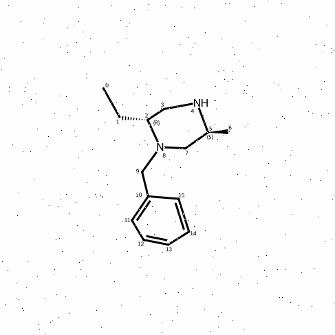 CC[C@@H]1CN[C@@H](C)CN1Cc1ccccc1